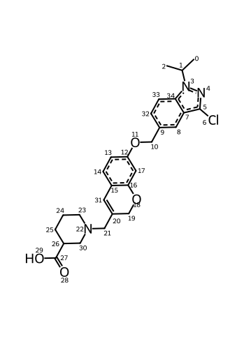 CC(C)n1nc(Cl)c2cc(COc3ccc4c(c3)OCC(CN3CCCC(C(=O)O)C3)=C4)ccc21